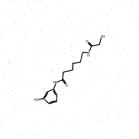 O=C(CS)NCCCCCC(=O)Nc1cccc(O)c1